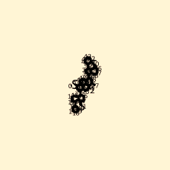 C[SiH2]c1cc(-c2ccc3c4c(cccc24)-c2ccccc2S3)c2ccc3c(C)cc(-c4ccc5c6c(cccc46)Sc4ccccc4-5)c4ccc1c2c34